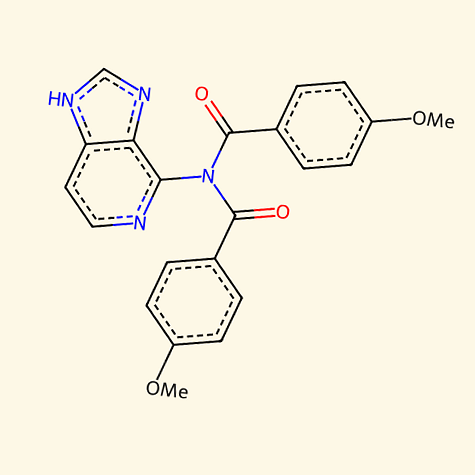 COc1ccc(C(=O)N(C(=O)c2ccc(OC)cc2)c2nccc3[nH]cnc23)cc1